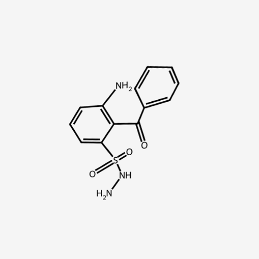 NNS(=O)(=O)c1cccc(N)c1C(=O)c1ccccc1